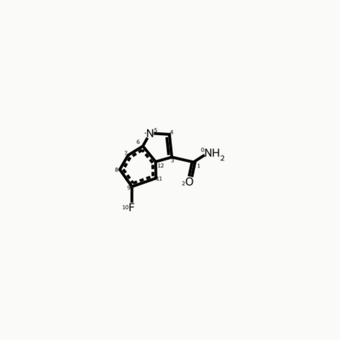 NC(=O)C1=C[N]c2ccc(F)cc21